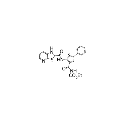 CCOC(=O)NC(=O)c1cc(-c2ccccc2)sc1NC(=O)C1Nc2cccnc2S1